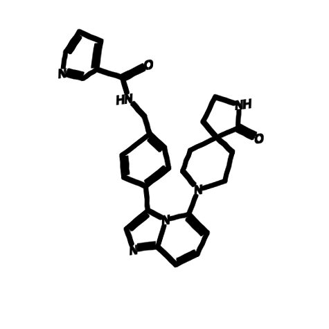 O=C(NCc1ccc(-c2cnc3cccc(N4CCC5(CCNC5=O)CC4)n23)cc1)c1cccnc1